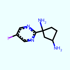 NC1CCC(N)(c2ncc(I)cn2)C1